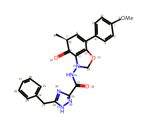 COc1ccc(C2=C[C@H](C)C(=O)C3=C2OCN3NC(=O)c2n[nH]c(Cc3ccccc3)n2)cc1